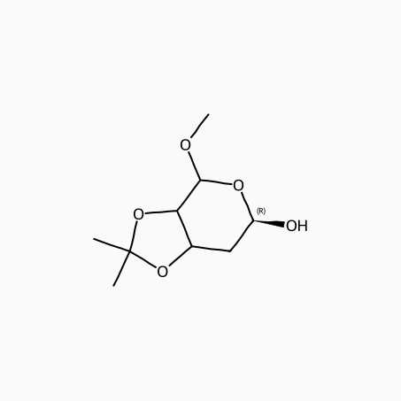 COC1O[C@@H](O)CC2OC(C)(C)OC21